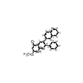 COc1cc(=O)c2cc(-c3ccc4ncccc4c3)c(-c3ccccc3)nc2[nH]1